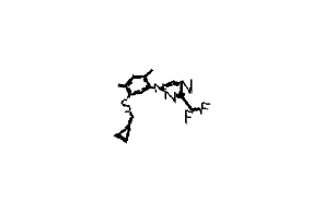 Cc1cc(C)c(-n2cnc(C(F)F)n2)cc1SCC1CC1